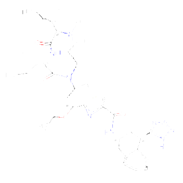 CCCN(C(=O)[C@@H](NC(=O)[C@H](NC)[C@@H](C)CC)[C@@H](C)CC)C(C[C@@H](OCC)c1nc(C(=O)N[C@H]2Cc3ccccc3[C@H](c3nnn[nH]3)C2)cs1)C(C)C